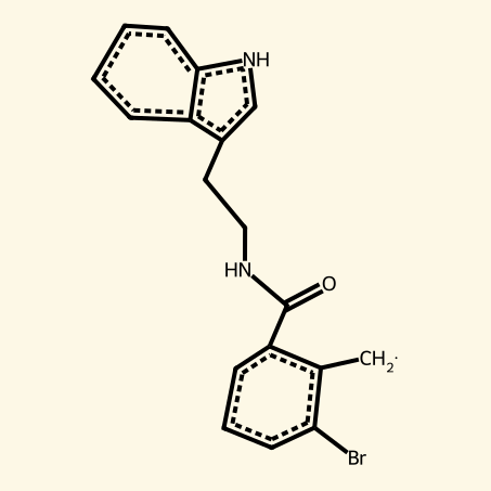 [CH2]c1c(Br)cccc1C(=O)NCCc1c[nH]c2ccccc12